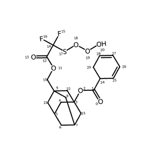 O=C(OC12CC3CC(CC(COC(=O)C(F)(F)SOOO)(C3)C1)C2)C1C=CC=CC1